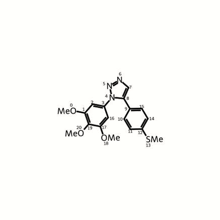 COc1cc(-n2nncc2-c2ccc(SC)cc2)cc(OC)c1OC